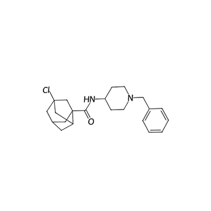 O=C(NC1CCN(Cc2ccccc2)CC1)C12CC3CC1CC(Cl)(C3)C2